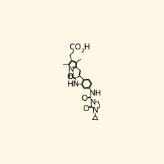 Cc1[nH]c(/C=C2\C(=O)Nc3cc(NC(=O)N4CCN(C5CC5)C4=O)ccc32)c(C)c1CCC(=O)O